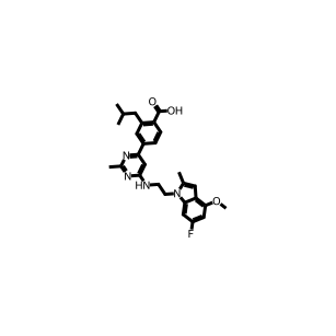 COc1cc(F)cc2c1cc(C)n2CCNc1cc(-c2ccc(C(=O)O)c(CC(C)C)c2)nc(C)n1